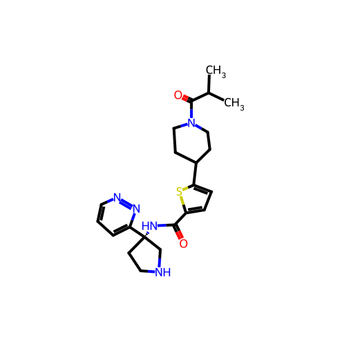 CC(C)C(=O)N1CCC(c2ccc(C(=O)N[C@@]3(c4cccnn4)CCNC3)s2)CC1